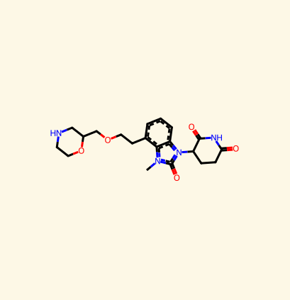 Cn1c(=O)n(C2CCC(=O)NC2=O)c2cccc(CCOCC3CNCCO3)c21